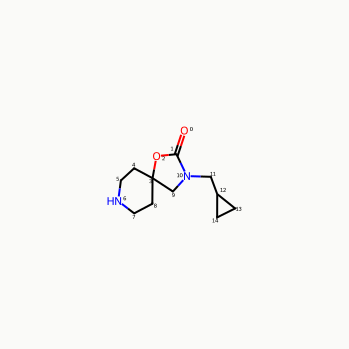 O=C1OC2(CCNCC2)CN1CC1CC1